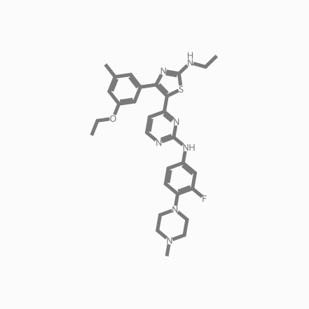 CCNc1nc(-c2cc(C)cc(OCC)c2)c(-c2ccnc(Nc3ccc(N4CCN(C)CC4)c(F)c3)n2)s1